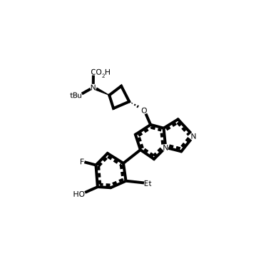 CCc1cc(O)c(F)cc1-c1cc(O[C@H]2C[C@H](N(C(=O)O)C(C)(C)C)C2)c2cncn2c1